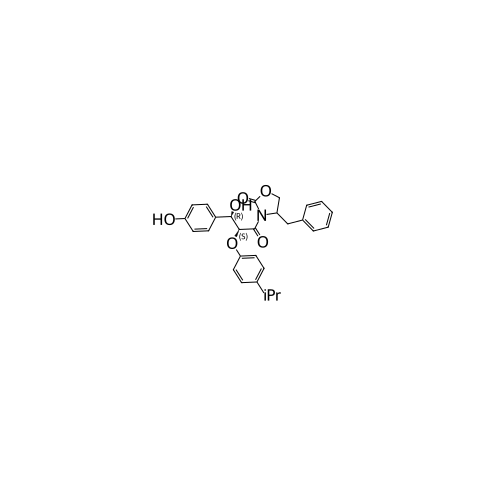 CC(C)c1ccc(O[C@H](C(=O)N2C(=O)OCC2Cc2ccccc2)[C@H](O)c2ccc(O)cc2)cc1